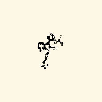 C[Si](C)(C)CCOCn1c(Br)c(-c2csnc2OC(F)F)c2cccnc21